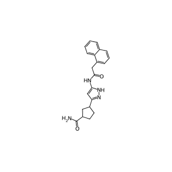 NC(=O)C1CCC(c2cc(NC(=O)Cc3cccc4ccccc34)[nH]n2)C1